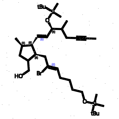 CC#CCC(C)[C@@H](/C=C/[C@H]1[C@H](C)CC(CO)[C@@H]1C/C(Br)=C/CCCCO[Si](C)(C)C(C)(C)C)O[Si](C)(C)C(C)(C)C